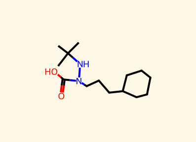 CC(C)(C)NN(CCCC1CCCCC1)C(=O)O